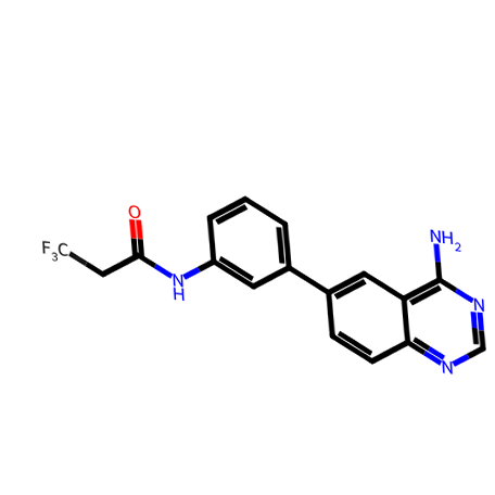 Nc1ncnc2ccc(-c3cccc(NC(=O)CC(F)(F)F)c3)cc12